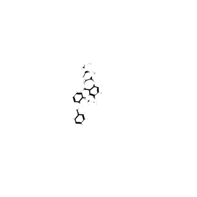 COC(=O)C[C@@H]1O[C@@H](c2cccc(OCc3ccccc3)c2OC)c2cc(Cl)ccc2NC1=O